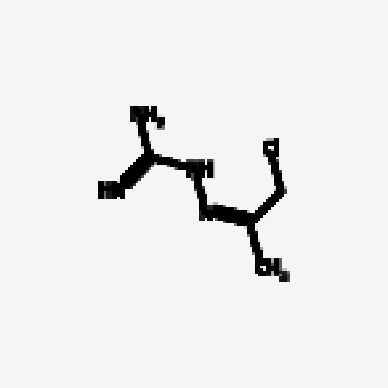 CC(CCl)=NNC(=N)N